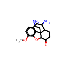 COc1ccc2c3c1OC1C(=O)CCC(C(N)C2)[C@@]31CCN